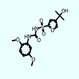 COc1ccc(OC)c(NC(=O)NS(=O)(=O)c2cc(C(C)(C)O)co2)c1